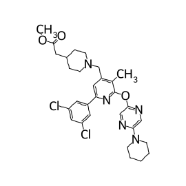 COC(=O)CC1CCN(Cc2cc(-c3cc(Cl)cc(Cl)c3)nc(Oc3cnc(N4CCCCC4)cn3)c2C)CC1